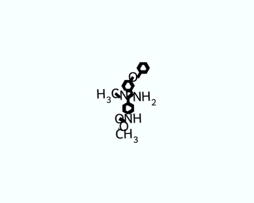 CCOC(=O)Nc1ccc(-c2c(N)c3cc(OCc4ccccc4)ccc3n2CC)cc1